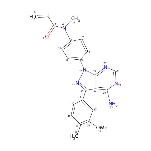 C=CC(=O)N(C)c1ccc(-n2nc(-c3ccc(C)c(OC)c3)c3c(N)ncnc32)cc1